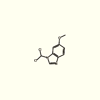 COc1ccc2ncn(C(Cl)Cl)c2c1